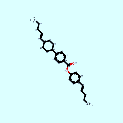 CCCC=Cc1ccc(OC(=O)c2ccc(C3CCC(/C=C/CCC)CC3)cc2)cc1